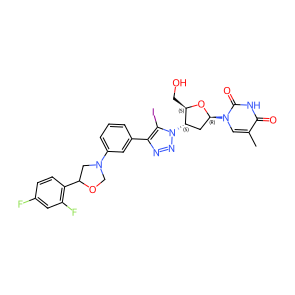 Cc1cn([C@H]2C[C@H](n3nnc(-c4cccc(N5COC(c6ccc(F)cc6F)C5)c4)c3I)[C@@H](CO)O2)c(=O)[nH]c1=O